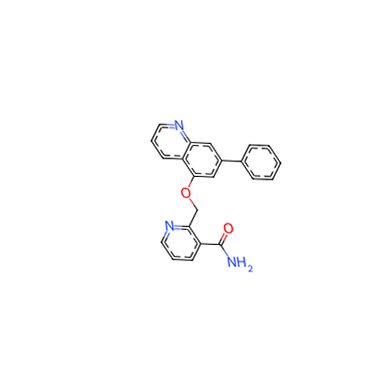 NC(=O)c1cccnc1COc1cc(-c2ccccc2)cc2ncccc12